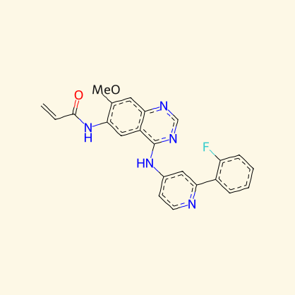 C=CC(=O)Nc1cc2c(Nc3ccnc(-c4ccccc4F)c3)ncnc2cc1OC